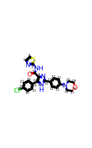 O=C(Nc1nccs1)c1nc(-c2ccc(N3CCOCC3)cc2)[nH]c1-c1ccc(Cl)cc1